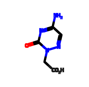 Nc1cnn(CC(=O)O)c(=O)n1